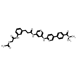 CN(C)C(=O)c1ccc(-c2ccc(Nc3cncc(NC(=O)CCc4cccc(NC(=O)COC(N)=O)c4)c3)nc2)cc1